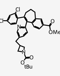 COC(=O)c1ccc2c(c1)CCCC(c1ccc(Cl)cc1Cl)=C2c1ccc(CC2CN(C(=O)OC(C)(C)C)C2)cn1